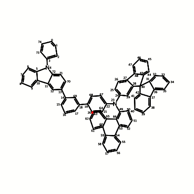 c1ccc(-n2c3ccccc3c3cc(-c4cccc(-c5ccc(N(c6ccc7c(c6)C6(c8ccccc8-c8ccccc86)c6ccccc6-7)c6cccc7c8ccccc8c8ccccc8c67)cc5)c4)ccc32)cc1